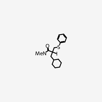 CNC(=O)C(I)(CSc1ccccc1)CC1CCCCC1